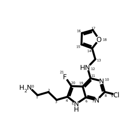 NCCCc1[nH]c2nc(Cl)nc(NCc3ccco3)c2c1F